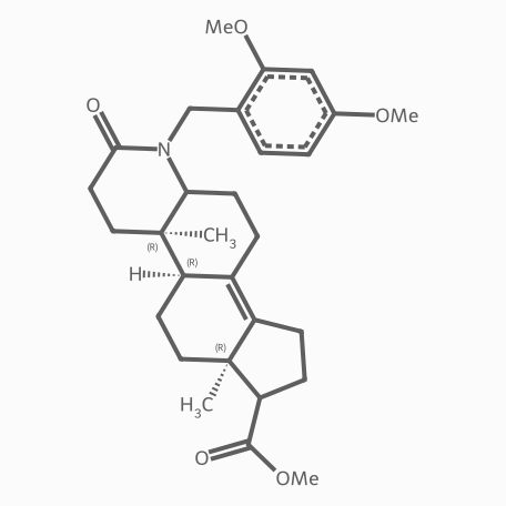 COC(=O)C1CCC2=C3CCC4N(Cc5ccc(OC)cc5OC)C(=O)CC[C@]4(C)[C@@H]3CC[C@@]21C